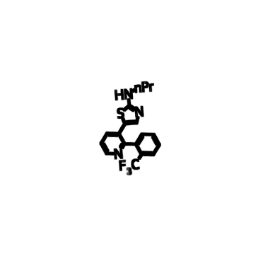 CCCNc1ncc(-c2cccnc2-c2ccccc2C(F)(F)F)s1